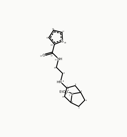 CCOC(=O)N1C2CCC1CC(NCCNC(=O)c1cccs1)C2